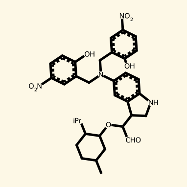 CC1CCC(C(C)C)C(OC(C=O)C2CNc3ccc(N(Cc4cc([N+](=O)[O-])ccc4O)Cc4cc([N+](=O)[O-])ccc4O)cc32)C1